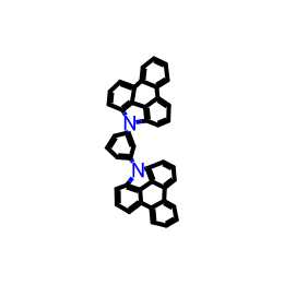 c1cc(-n2c3cccc4c5ccccc5c5cccc2c5c43)cc(-n2c3cccc4c5ccccc5c5cccc2c5c43)c1